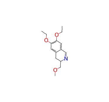 CCOc1cc2c(cc1OCC)CC(COC)N=C2